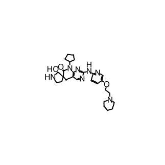 O=C1N(C2CCCC2)c2nc(Nc3ccc(OCCN4CCCCC4)cn3)ncc2CC12CCNC2O